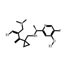 C=C(/C(=C\CC)CN(C)C)C1(CN[C@@H](C)c2cc(OCC)c(F)cn2)CC1